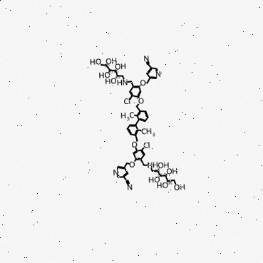 Cc1c(COc2cc(OCc3cncc(C#N)c3)c(CNC[C@H](O)[C@@H](O)[C@H](O)[C@H](O)CO)cc2Cl)cccc1-c1cccc(COc2cc(OCc3cncc(C#N)c3)c(CNC[C@H](O)[C@@H](O)[C@H](O)[C@H](O)CO)cc2Cl)c1C